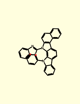 c1ccc(-n2c3ccccc3c3ccc4c5c6ccccc6ccc5n(-c5nc6ccccc6s5)c4c32)cc1